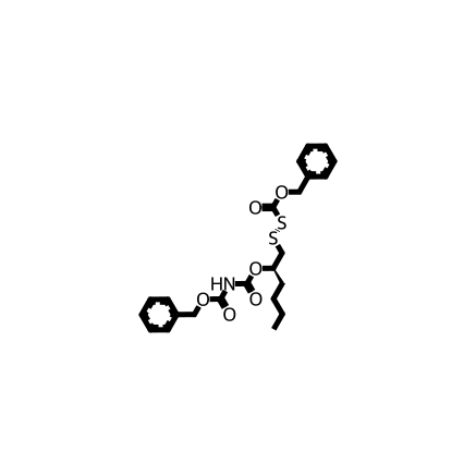 CCCC[C@H](CSSC(=O)OCc1ccccc1)OC(=O)NC(=O)OCc1ccccc1